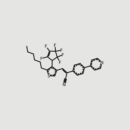 CCCCCCc1scc(C=C(C#N)c2ccc(-c3ccncc3)cc2)c1C1C(F)=C(F)C(F)(F)C1(F)F